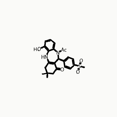 CC(=O)N1c2cccc(O)c2NC2=C(C(=O)CC(C)(C)C2)C1c1ccc(S(C)(=O)=O)cc1